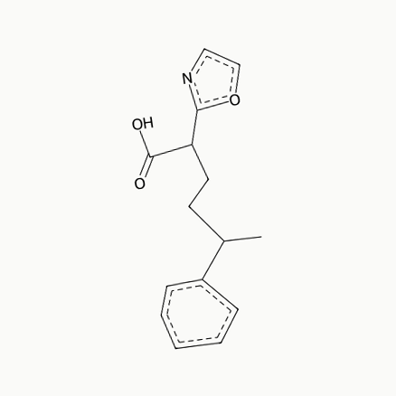 CC(CCC(C(=O)O)c1ncco1)c1ccccc1